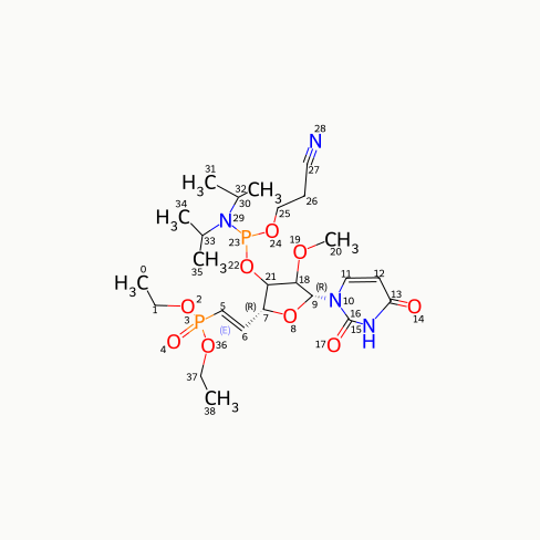 CCOP(=O)(/C=C/[C@H]1O[C@@H](n2ccc(=O)[nH]c2=O)C(OC)C1OP(OCCC#N)N(C(C)C)C(C)C)OCC